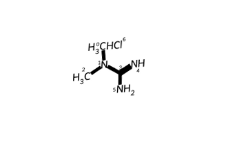 CN(C)C(=N)N.Cl